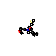 CC1(C)c2ccccc2-c2cc(-c3ccccc3-c3ccccc3N(c3ccc(-c4ccc5c(c4)sc4ccccc45)cc3)c3ccc(-c4cccc5oc6ccccc6c45)cc3)ccc21